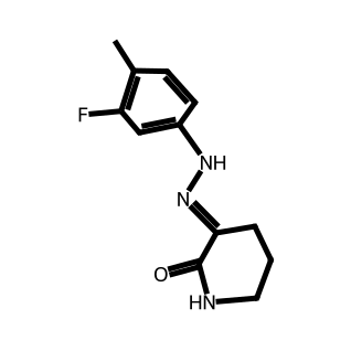 Cc1ccc(N/N=C2\CCCNC2=O)cc1F